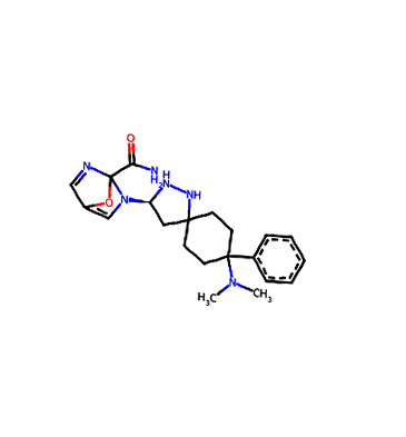 CN(C)C1(c2ccccc2)CCC2(CC1)C[C@@H](N1C=C3C=NC1(C(N)=O)O3)NN2